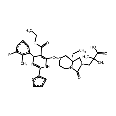 CCOC(=O)C1=C(CN2CCN3C(=O)N(CC(C)(C)C(=O)O)C[C@]3(CC)C2)NC(c2nccs2)=N[C@H]1c1cccc(F)c1C